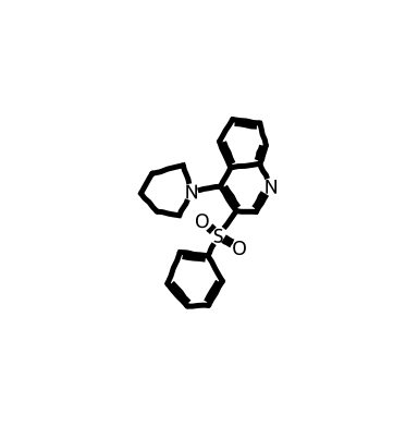 O=S(=O)(c1ccccc1)c1cnc2ccccc2c1N1CCCCC1